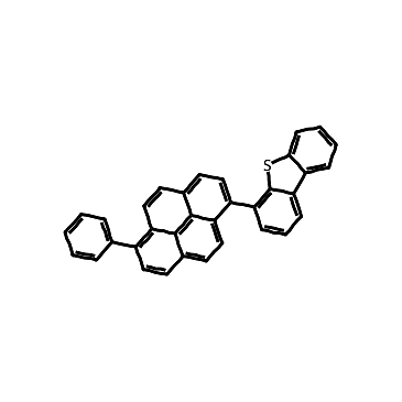 c1ccc(-c2ccc3ccc4c(-c5cccc6c5sc5ccccc56)ccc5ccc2c3c54)cc1